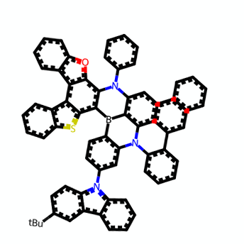 CC(C)(C)c1ccc2c(c1)c1ccccc1n2-c1ccc2c(c1)N(c1ccccc1-c1ccccc1)c1cc(-c3ccccc3)cc3c1B2c1c(c2oc4ccccc4c2c2c1sc1ccccc12)N3c1ccccc1